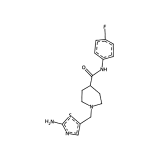 Nc1ncc(CN2CCC(C(=O)Nc3ccc(F)cc3)CC2)s1